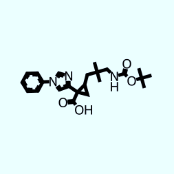 CC(C)(CNC(=O)OC(C)(C)C)CC1CC1(C(=O)O)c1cn(-c2ccccc2)cn1